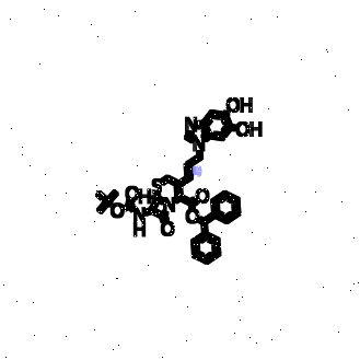 CC(C)(C)OC(=O)NC1C(=O)N2C(C(=O)OC(c3ccccc3)c3ccccc3)=C(/C=C/Cn3cnc4cc(O)c(O)cc43)CS[C@H]12